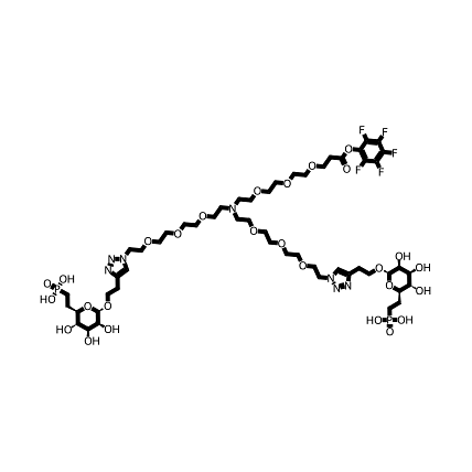 O=C(CCOCCOCCOCCN(CCOCCOCCOCCn1cc(CCO[C@H]2O[C@H](CCP(=O)(O)O)[C@@H](O)[C@H](O)[C@@H]2O)nn1)CCOCCOCCOCCn1cc(CCO[C@H]2O[C@H](CCP(=O)(O)O)[C@@H](O)[C@H](O)[C@@H]2O)nn1)Oc1c(F)c(F)c(F)c(F)c1F